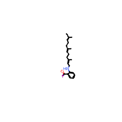 CC(C)=CCC/C(C)=C/CC/C(C)=C/CNc1ccccc1C(=O)I